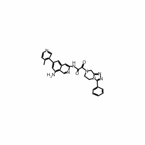 Cc1ccncc1-c1cc(N)c2cnc(NC(=O)C(=O)N3CCn4c(nnc4-c4ccccc4)C3)cc2c1